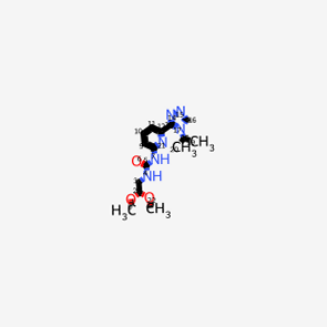 COC(CNC(=O)Nc1cccc(-c2nncn2C(C)C)n1)OC